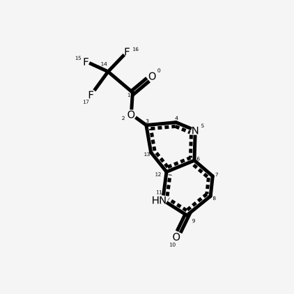 O=C(Oc1cnc2ccc(=O)[nH]c2c1)C(F)(F)F